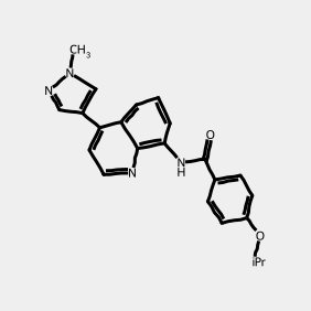 CC(C)Oc1ccc(C(=O)Nc2cccc3c(-c4cnn(C)c4)ccnc23)cc1